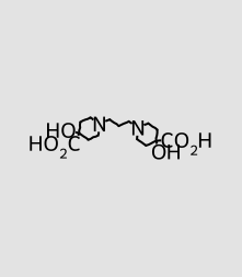 O=C(O)C1(O)CCN(CCCN2CCC(O)(C(=O)O)CC2)CC1